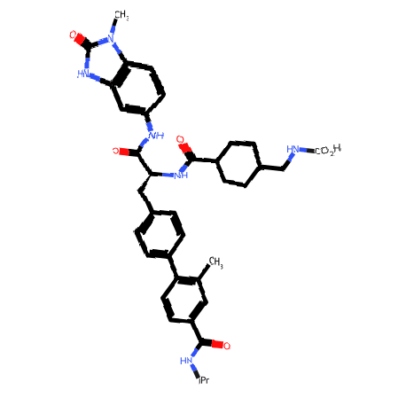 Cc1cc(C(=O)NC(C)C)ccc1-c1ccc(C[C@H](NC(=O)C2CCC(CNC(=O)O)CC2)C(=O)Nc2ccc3c(c2)[nH]c(=O)n3C)cc1